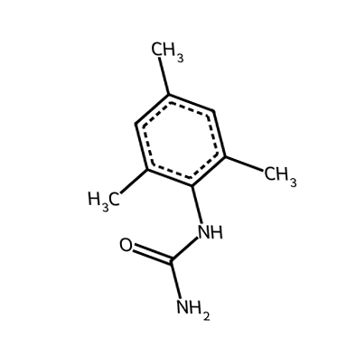 Cc1cc(C)c(NC(N)=O)c(C)c1